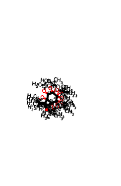 C[Si](C)(C)OC1C(O[Si](C)(C)C)(O[Si](C)(C)C)C(O[Si](C)(C)C)(O[Si](C)(C)C)C(O[Si](C)(C)C)(O[Si](C)(C)C)C([SiH3])(O[Si](C)(C)C)C1(O[Si](C)(C)C)C([SiH3])=C([SiH3])[SiH3]